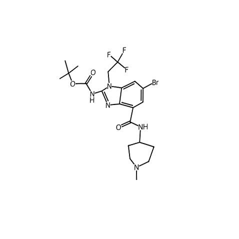 CN1CCC(NC(=O)c2cc(Br)cc3c2nc(NC(=O)OC(C)(C)C)n3CC(F)(F)F)CC1